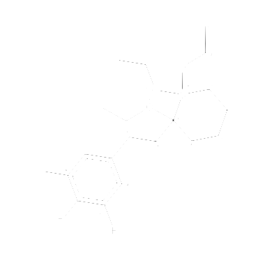 CCOC1(CCc2cc(F)c(F)c(F)c2)CCCC[Si]1(OCC)OCC